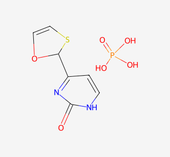 O=P(O)(O)O.O=c1nc(C2OC=CS2)cc[nH]1